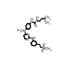 CN(C)CCNC(=O)Nc1ccc(N(C)c2ccnc(Nc3cccc(CCS(C)(=O)=O)c3)n2)cc1